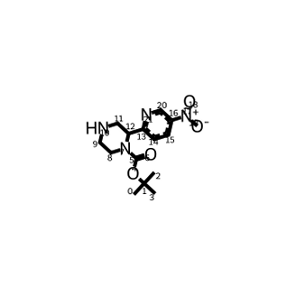 CC(C)(C)OC(=O)N1CCNCC1c1ccc([N+](=O)[O-])cn1